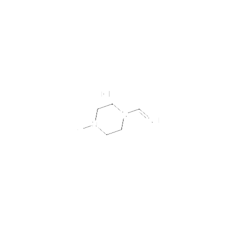 CN1CCN(C=N)CC1.Cl